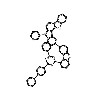 c1ccc(-c2ccc(-c3nc(-c4ccccc4)nc(-c4cccc5sc6ccc(-c7ccc8c(c7)c7c9oc%10ccccc%10c9ccc7n8-c7ccccc7)cc6c45)n3)cc2)cc1